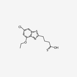 CCOc1cc(Cl)cc2sc(CCCC(O)=S)nc12